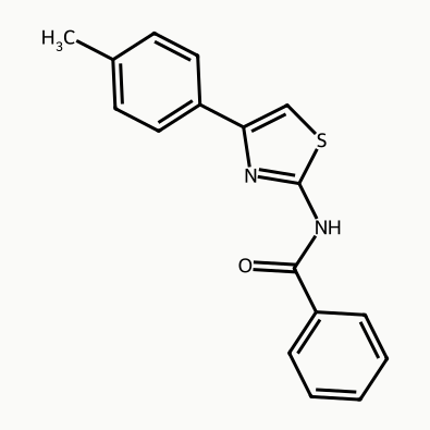 Cc1ccc(-c2csc(NC(=O)c3ccccc3)n2)cc1